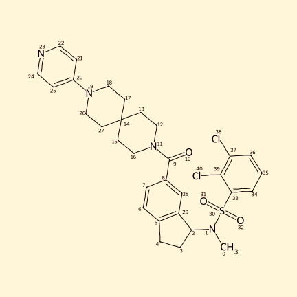 CN(C1CCc2ccc(C(=O)N3CCC4(CC3)CCN(c3ccncc3)CC4)cc21)S(=O)(=O)c1cccc(Cl)c1Cl